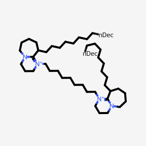 CCCCCCCCCCCCCCCCCCC1CCCCN2CCC[N+](CCCCCCCCC[N+]3=C4C(CCCCCCCCCCCCCCCCCC)CCCCN4CCC3)=C12